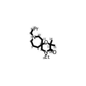 CCN1CC2(CCCN(CC(C)C)CC2)OC(C)(C)C1=O